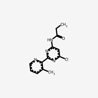 CCC(=O)Nc1cc(Cl)nc(-c2ncccc2C)n1